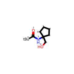 CC(C)(C)C(=O)NC1(CO)CCCC1